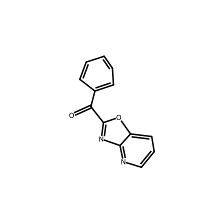 O=C(c1ccccc1)c1nc2ncccc2o1